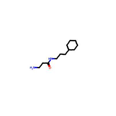 NCCC(=O)NCCCC1CCCCC1